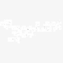 NC(=O)c1cc(-c2c[nH]cn2)cnc1O[C@H]1CCN(C(=O)Cc2ccc(OC(F)(F)F)cc2)C[C@H]1F